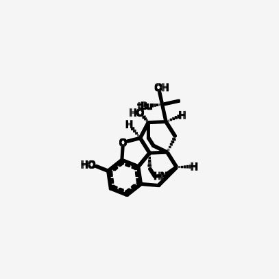 CC(C)(C)[C@@](C)(O)[C@H]1C[C@@]23CC[C@@]1(O)[C@@H]1Oc4c(O)ccc5c4[C@@]12CCN[C@@H]3C5